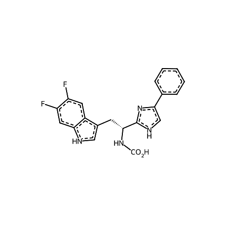 O=C(O)N[C@H](Cc1c[nH]c2cc(F)c(F)cc12)c1nc(-c2ccccc2)c[nH]1